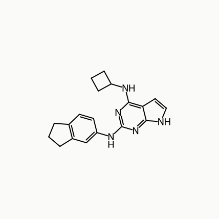 c1cc2c(NC3CCC3)nc(Nc3ccc4c(c3)CCC4)nc2[nH]1